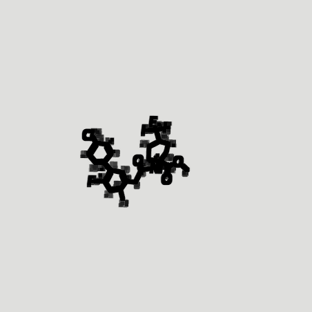 COC(=O)C1(NC(=O)Cc2cc(-c3ccc(Cl)cc3)c(F)cc2C)CCC(C(F)(F)F)CC1